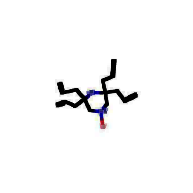 C=CCC1(CC=C)C[NH+]([O-])CC(CC=C)(CC=C)N1